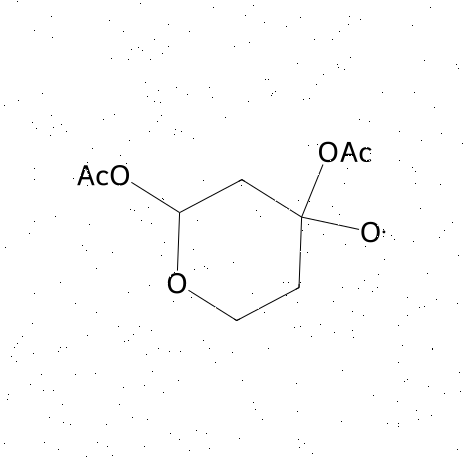 CC(=O)OC1CC([O])(OC(C)=O)CCO1